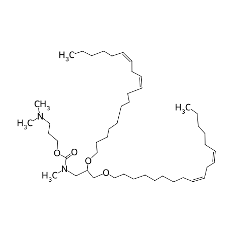 CCCCC/C=C\C/C=C\CCCCCCCCOCC(CN(C)C(=O)OCCCN(C)C)OCCCCCCCC/C=C\C/C=C\CCCCC